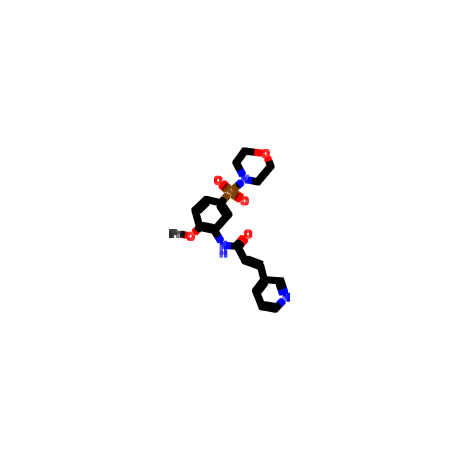 CC(C)Oc1ccc(S(=O)(=O)N2CCOCC2)cc1NC(=O)C=Cc1cccnc1